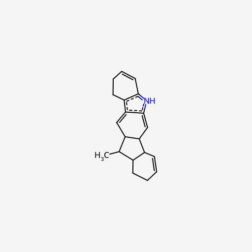 CC1C2C=c3c4c([nH]c3=CC2C2C=CCCC12)C=CCC4